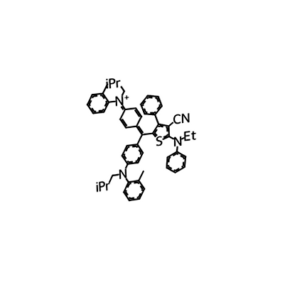 CCN(c1ccccc1)c1sc(C(=C2C=CC(=[N+](CC(C)C)c3ccccc3C)C=C2)c2ccc(N(CC(C)C)c3ccccc3C)cc2)c(-c2ccccc2)c1C#N